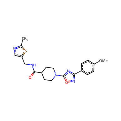 COc1ccc(-c2noc(N3CCC(C(=O)NCc4cnc(C(F)(F)F)s4)CC3)n2)cc1